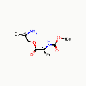 CC[C@@H](N)COC(=O)[C@@H](NC(=O)OC(C)(C)C)C(C)C